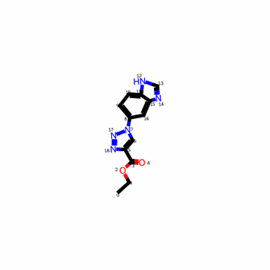 CCOC(=O)c1cn(-c2ccc3[nH]cnc3c2)nn1